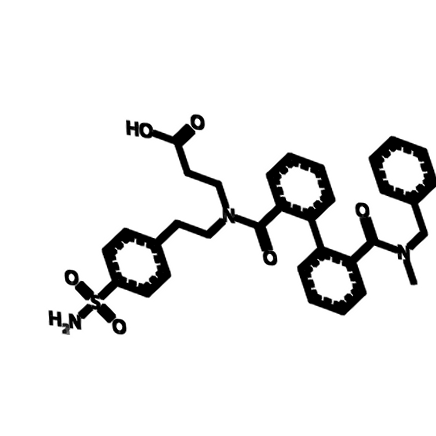 CN(Cc1ccccc1)C(=O)c1ccccc1-c1ccccc1C(=O)N(CCC(=O)O)CCc1ccc(S(N)(=O)=O)cc1